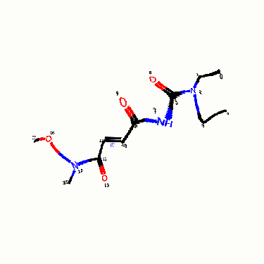 CCN(CC)C(=O)NC(=O)/C=C/C(=O)N(C)OC